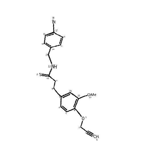 C#CCOc1ccc(CCC(=S)NCc2ccc(Br)cc2)cc1OC